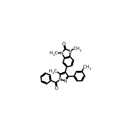 Cc1cccc(-c2nn(C(=O)c3ccccc3)c(C)c2-c2ccc3c(c2)n(C)c(=O)n3C)c1